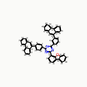 c1cc(-c2nc(-c3ccc(-c4cc5ccccc5c5ccccc45)cc3)nc(-c3cccc4c3oc3ccccc34)n2)cc(-c2cc3ccccc3c3ccccc23)c1